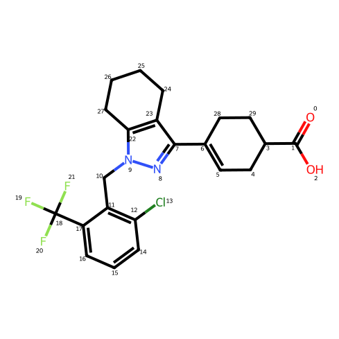 O=C(O)C1CC=C(c2nn(Cc3c(Cl)cccc3C(F)(F)F)c3c2CCCC3)CC1